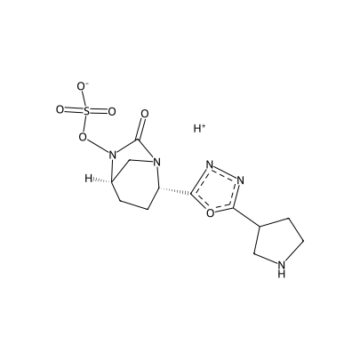 O=C1N2C[C@@H](CC[C@H]2c2nnc(C3CCNC3)o2)N1OS(=O)(=O)[O-].[H+]